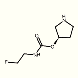 O=C(NCCF)O[C@@H]1CCNC1